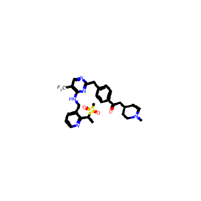 CC(c1ncccc1CNc1nc(Cc2ccc(C(=O)CC3CCN(C)CC3)cc2)ncc1C(F)(F)F)S(C)(=O)=O